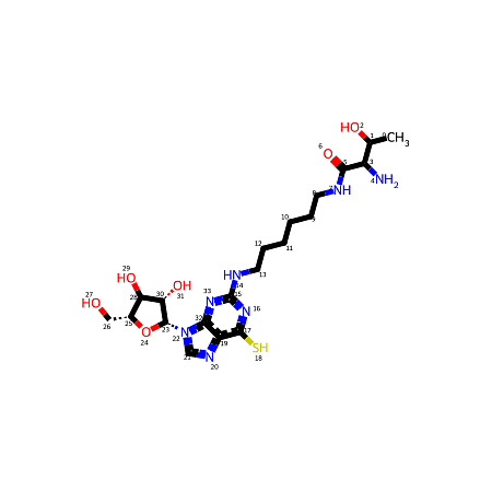 CC(O)C(N)C(=O)NCCCCCCNc1nc(S)c2ncn([C@@H]3O[C@H](CO)C(O)[C@@H]3O)c2n1